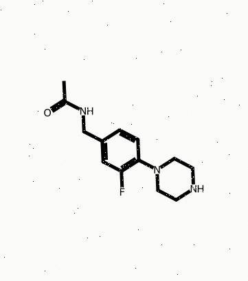 CC(=O)NCc1ccc(N2CCNCC2)c(F)c1